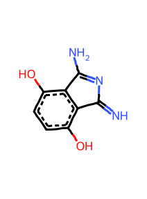 N=C1N=C(N)c2c(O)ccc(O)c21